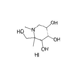 CN1CC(O)C(O)C(O)C1(C)CO.I